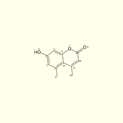 Cc1cc(O)cc2oc(=O)cc(C)c12